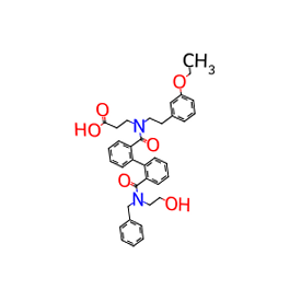 CCOc1cccc(CCN(CCC(=O)O)C(=O)c2ccccc2-c2ccccc2C(=O)N(CCO)Cc2ccccc2)c1